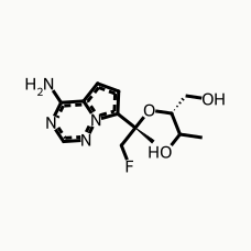 CC(O)[C@@H](CO)O[C@](C)(CF)c1ccc2c(N)ncnn12